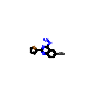 COc1ccc2nc(-c3cccs3)nc(NN)c2c1